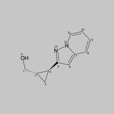 OC[C@H]1C[C@@H]1c1cc2ccccn2n1